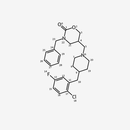 O=C1OCC(CN2CCC(Cc3cc(F)ccc3Cl)CC2)CN1Cc1ccccc1